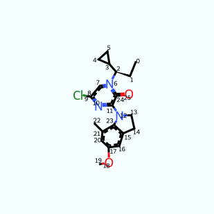 CC[C@H](C1CC1)n1cc(Cl)nc(N2CCc3cc(OC)cc(C)c32)c1=O